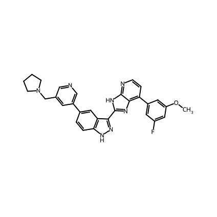 COc1cc(F)cc(-c2ccnc3[nH]c(-c4n[nH]c5ccc(-c6cncc(CN7CCCC7)c6)cc45)nc23)c1